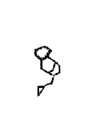 c1ccc2c(c1)CC1CC2CCN1CC1CC1